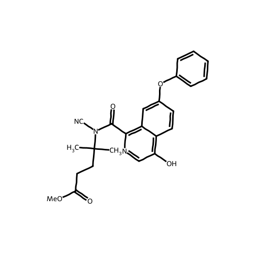 COC(=O)CCC(C)(C)N(C#N)C(=O)c1ncc(O)c2ccc(Oc3ccccc3)cc12